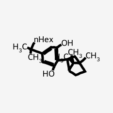 CCCCCCC(C)(C)c1cc(O)c(C2CC3(C)CCC2C3(C)C)c(O)c1